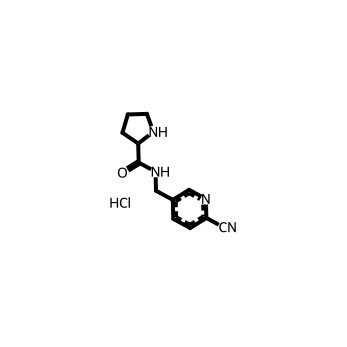 Cl.N#Cc1ccc(CNC(=O)C2CCCN2)cn1